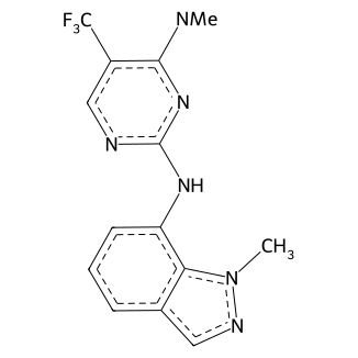 CNc1nc(Nc2cccc3cnn(C)c23)ncc1C(F)(F)F